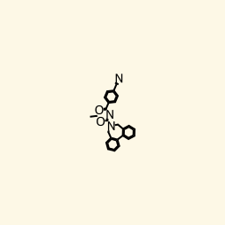 CCOC(=NC(=O)c1ccc(C#N)cc1)N1Cc2ccccc2-c2ccccc2C1